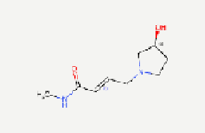 CNC(=O)/C=C/CN1CC[C@H](O)C1